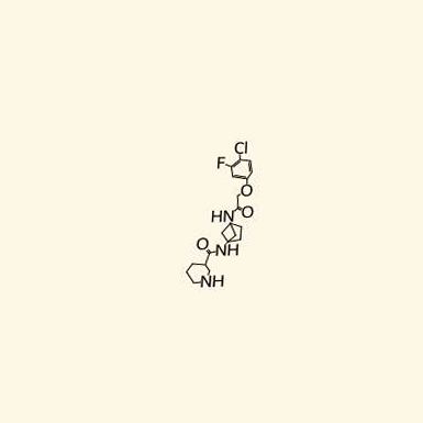 O=C(COc1ccc(Cl)c(F)c1)NC12CCC(NC(=O)C3CCCNC3)(C1)C2